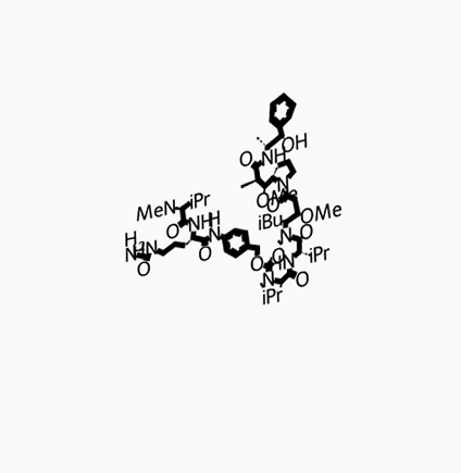 CCC(C)[C@@H]([C@@H](CC(=O)N1CCC[C@H]1[C@H](OC)[C@@H](C)C(=O)N[C@H](C)[C@@H](O)c1ccccc1)OC)N(C)C(=O)[C@@H](NC(=O)[C@H](C(C)C)N(C)C(=O)OCc1ccc(NC(=O)[C@H](CCCNC(N)=O)NC(=O)[C@@H](NC)C(C)C)cc1)C(C)C